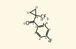 O=C(c1ccc(F)cn1)C1(C(F)(F)F)CC1